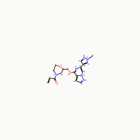 C=CC(=O)N1CCOC(COc2nc(-c3cnn(C)c3)cn3nccc23)C1